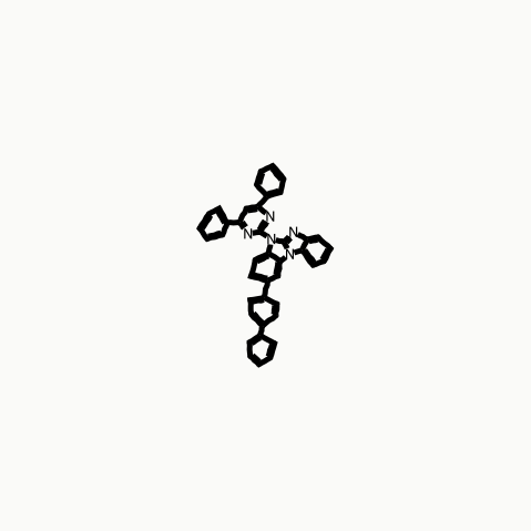 c1ccc(-c2ccc(-c3ccc4c(c3)n3c5ccccc5nc3n4-c3nc(-c4ccccc4)cc(-c4ccccc4)n3)cc2)cc1